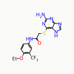 CCOc1ccc(NC(=O)CSc2nc(N)nc3nc[nH]c23)cc1C(F)(F)F